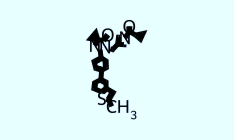 Cc1cc2cc(-c3ccc(C4=NC5(CC5)C(=O)N4CC4CN(C(=O)C5CC5)C4)cc3)ccc2s1